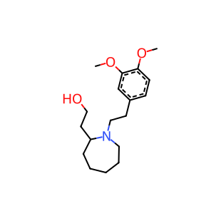 COc1ccc(CCN2CCCCCC2CCO)cc1OC